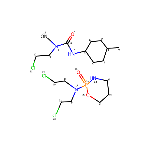 CC1CCC(NC(=O)N(CCCl)N=O)CC1.O=P1(N(CCCl)CCCl)NCCCO1